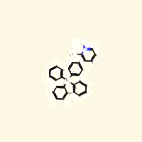 C[n+]1ccccc1C#N.c1ccc([B-](c2ccccc2)(c2ccccc2)c2ccccc2)cc1